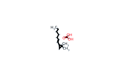 CCCCCC=CC1CC1(C)C.O=C(O)O